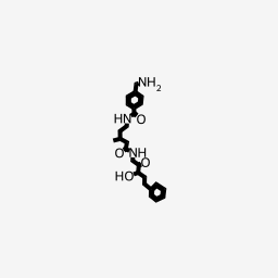 CC(CCNC(=O)c1ccc(CN)cc1)CC(=O)NCC(=O)C(O)CCc1ccccc1